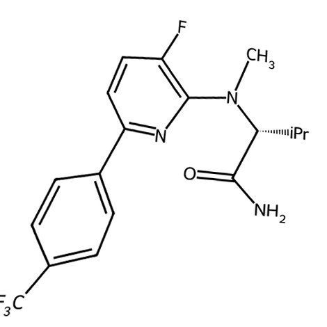 CC(C)[C@H](C(N)=O)N(C)c1nc(-c2ccc(C(F)(F)F)cc2)ccc1F